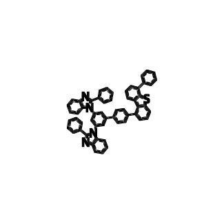 c1ccc(-c2cccc3c2sc2cccc(-c4ccc(-c5cc(-n6c(-c7ccccc7)nc7ccccc76)cc(-n6c(-c7ccccc7)nc7ccccc76)c5)cc4)c23)cc1